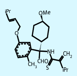 C=C(C(=S)NC(C=O)(c1cc(OC/C=C/C(C)C)ccc1C)[C@H]1CC[C@H](OC)CC1)C(C)C